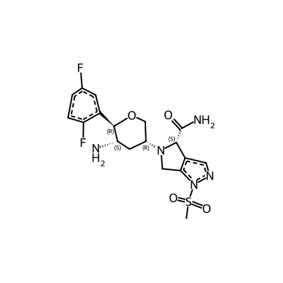 CS(=O)(=O)n1ncc2c1CN([C@H]1CO[C@H](c3cc(F)ccc3F)[C@@H](N)C1)[C@@H]2C(N)=O